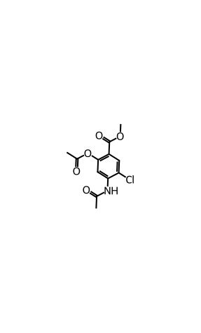 COC(=O)c1cc(Cl)c(NC(C)=O)cc1OC(C)=O